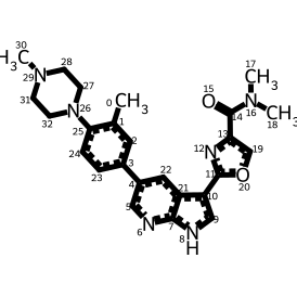 Cc1cc(-c2cnc3[nH]cc(-c4nc(C(=O)N(C)C)co4)c3c2)ccc1N1CCN(C)CC1